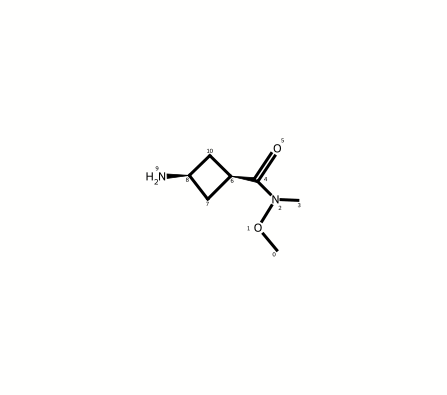 CON(C)C(=O)[C@H]1C[C@@H](N)C1